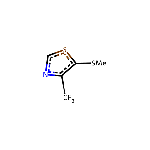 CSc1scnc1C(F)(F)F